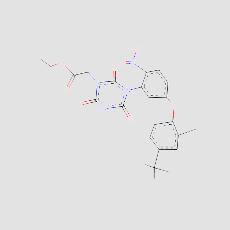 CCOC(=O)Cn1c(=O)[nH]c(=O)n(-c2cc(Oc3ccc(C(F)(F)F)cc3Cl)ccc2[N+](=O)[O-])c1=O